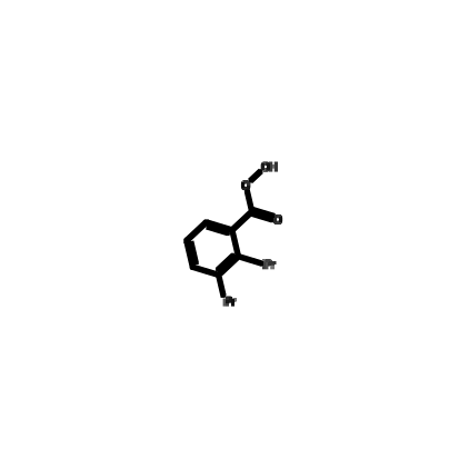 CC(C)c1cccc(C(=O)OO)c1C(C)C